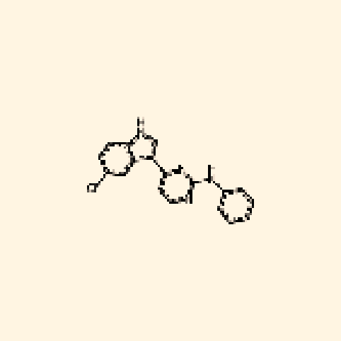 Clc1ccc2[nH]cc(-c3ccnc(Nc4ccccc4)n3)c2c1